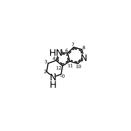 [CH]1NCCc2[nH]c3ccncc3c21